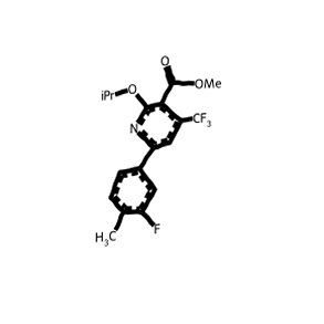 COC(=O)c1c(C(F)(F)F)cc(-c2ccc(C)c(F)c2)nc1OC(C)C